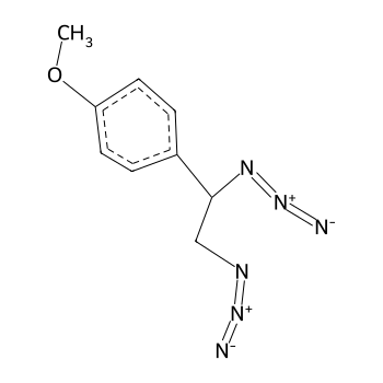 COc1ccc(C(CN=[N+]=[N-])N=[N+]=[N-])cc1